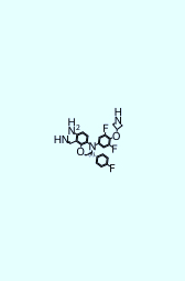 N=Cc1c(N)ccc2c1OC[C@@H](c1ccc(F)cc1)N2c1cc(F)c(OC2CNC2)c(F)c1